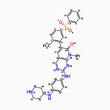 Cc1ccc(S(=O)(=O)c2ccccc2)cc1-c1cc2cnc(Nc3ccc(NC4CCNCC4)cc3)nc2n(C(C)C)c1=O